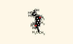 CC(C)=CCCC(C)(O)C1CC[C@]2(C)[C@@H]1[C@H](O)C[C@@H]1[C@@]3(C)CC[C@H](O[C@@H]4O[C@H](CO)[C@@H](O)[C@H](O)[C@H]4O)C(C)(C)[C@@H]3CC[C@]12C